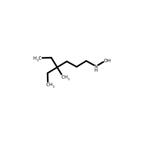 CCC(C)(CC)CCCNO